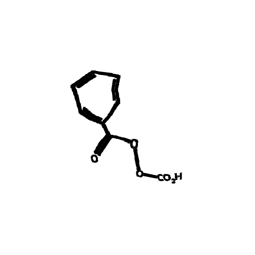 O=C(O)OOC(=O)c1ccccc1